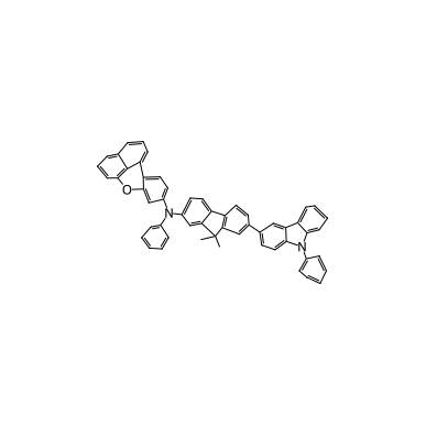 CC1(C)c2cc(-c3ccc4c(c3)c3ccccc3n4-c3ccccc3)ccc2-c2ccc(N(c3ccccc3)c3ccc4c(c3)Oc3cccc5cccc-4c35)cc21